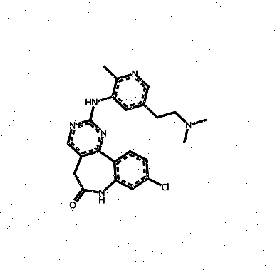 Cc1ncc(CCN(C)C)cc1Nc1ncc2c(n1)-c1ccc(Cl)cc1NC(=O)C2